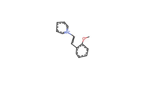 COc1ccccc1C=C[n+]1ccccc1